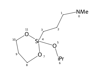 CNCCC[Si]1(OC(C)C)OCCCO1